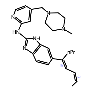 C/C=C\C=C(/CCC)c1ccc2nc(Nc3cc(CN4CCN(C)CC4)ccn3)[nH]c2c1